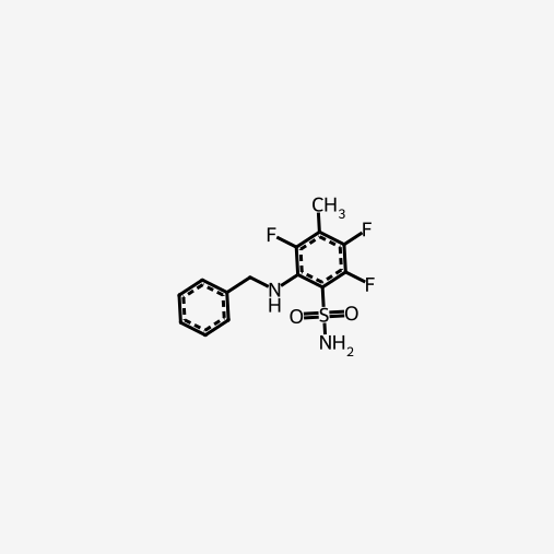 Cc1c(F)c(F)c(S(N)(=O)=O)c(NCc2ccccc2)c1F